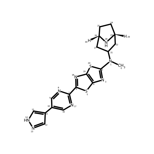 CN(c1nc2sc(-c3ncc(-c4cn[nH]c4)cn3)nc2s1)C1C[C@H]2CC[C@@H](C1)N2